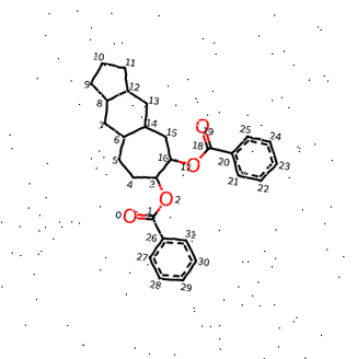 O=C(OC1CCC2CC3CCCC3CC2CC1OC(=O)c1ccccc1)c1ccccc1